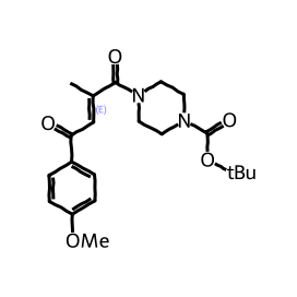 COc1ccc(C(=O)/C=C(\C)C(=O)N2CCN(C(=O)OC(C)(C)C)CC2)cc1